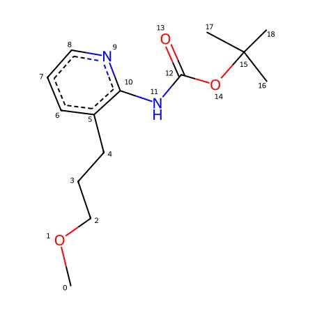 COCCCc1cccnc1NC(=O)OC(C)(C)C